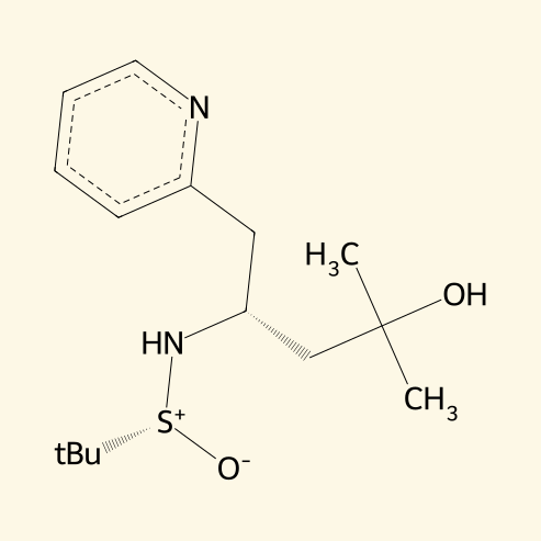 CC(C)(O)C[C@@H](Cc1ccccn1)N[S@+]([O-])C(C)(C)C